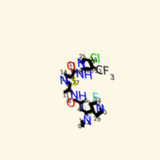 C=C/N=C(\C=C(/C)C(=O)NC(C)c1ncc(C(=O)Nc2cc(C(F)(F)F)c(Cl)cn2)s1)c1ccnc(F)c1